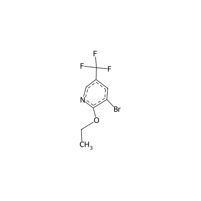 CCOc1ncc(C(F)(F)F)cc1Br